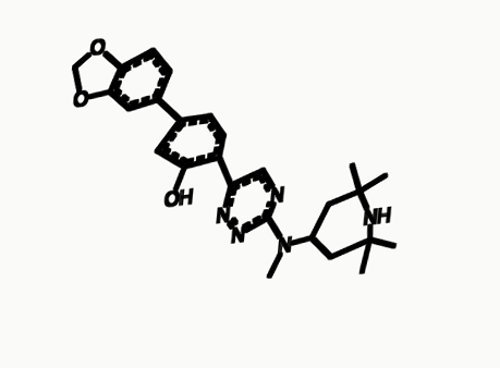 CN(c1ncc(-c2ccc(-c3ccc4c(c3)OCO4)cc2O)nn1)C1CC(C)(C)NC(C)(C)C1